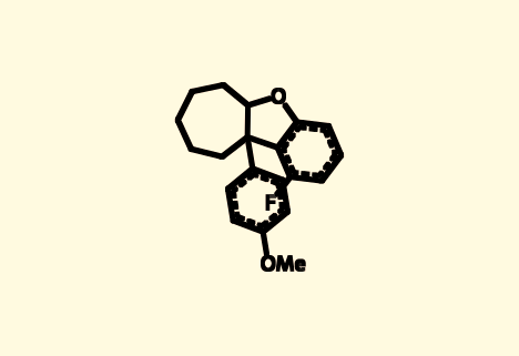 COc1ccc(C23CCCCCC2Oc2cccc(F)c23)cc1